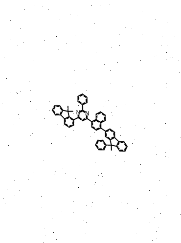 CC1(C)c2ccccc2-c2cccc(-c3cc(-c4ccc(-c5ccc6c(c5)C(C)(c5ccccc5)c5ccccc5-6)c5ccccc45)nc(-c4ccccc4)n3)c21